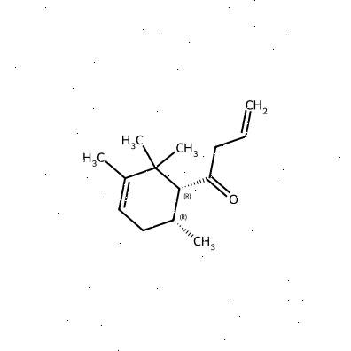 C=CCC(=O)[C@@H]1[C@H](C)CC=C(C)C1(C)C